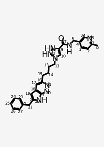 Cc1ccc(CNC(=O)C2=CN(CCCCc3cc4cc(Cc5ccccc5)[nH]c4nn3)NN2)cn1